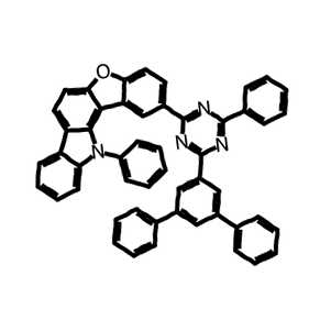 c1ccc(-c2cc(-c3ccccc3)cc(-c3nc(-c4ccccc4)nc(-c4ccc5oc6ccc7c8ccccc8n(-c8ccccc8)c7c6c5c4)n3)c2)cc1